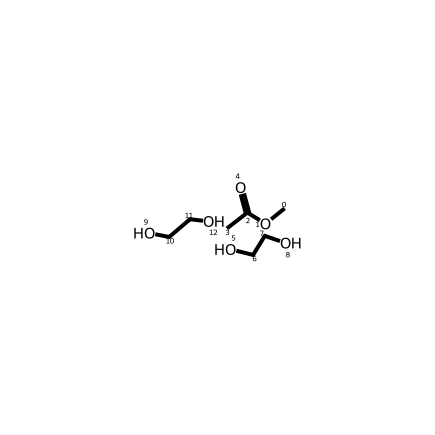 COC(C)=O.OCCO.OCCO